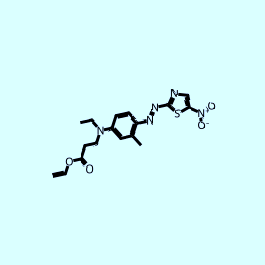 C=COC(=O)CCN(CC)c1ccc(/N=N/c2ncc([N+](=O)[O-])s2)c(C)c1